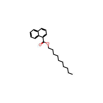 CCCCCCCCCCOC(=O)c1cccc2ccccc12